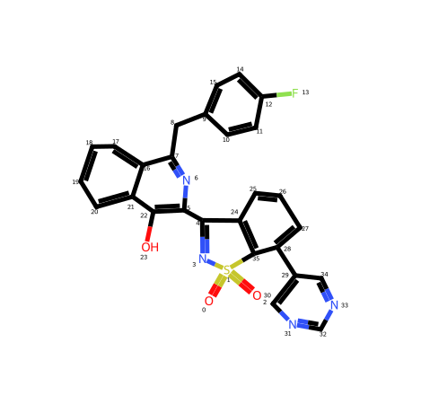 O=S1(=O)N=C(c2nc(Cc3ccc(F)cc3)c3ccccc3c2O)c2cccc(-c3cncnc3)c21